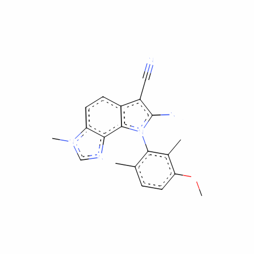 COc1ccc(C)c(-n2c(N)c(C#N)c3ccc4c(ncn4C)c32)c1C